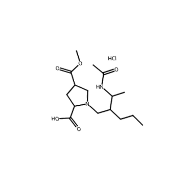 CCCC(CN1CC(C(=O)OC)CC1C(=O)O)C(C)NC(C)=O.Cl